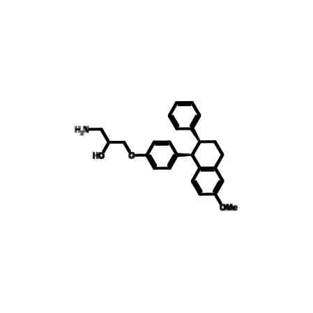 COc1ccc2c(c1)CC[C@H](c1ccccc1)[C@@H]2c1ccc(OCC(O)CN)cc1